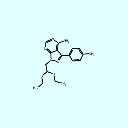 CCOC(Cn1nc(-c2ccc(C)cc2)c2c(N)ncnc21)OCC